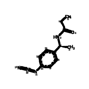 C[C@H](NC(=O)CC#N)c1ccc(N=[N+]=[N-])cc1